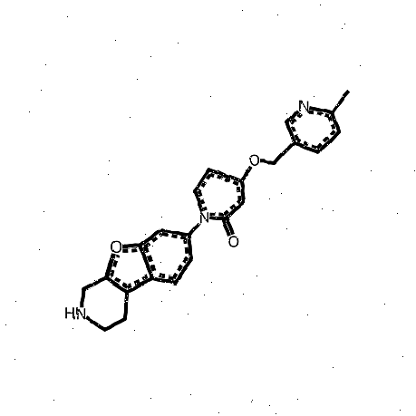 Cc1ccc(COc2ccn(-c3ccc4c5c(oc4c3)CNCC5)c(=O)c2)cn1